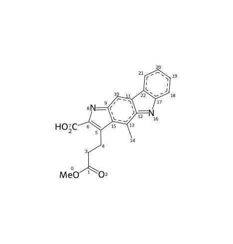 COC(=O)CCC1=C(C(=O)O)N=c2cc3c(c(C)c21)=Nc1ccccc1-3